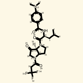 CC(C)C[C@H](NC(=O)c1ccc(N(C)C)cc1)C(=O)N1CCC2[C@H]1C(=O)CN2C(=O)CC(F)(F)F